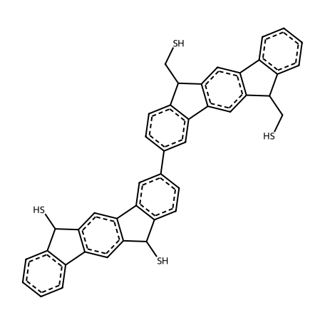 SCC1c2ccccc2-c2cc3c(cc21)-c1cc(-c2ccc4c(c2)-c2cc5c(cc2C4S)-c2ccccc2C5S)ccc1C3CS